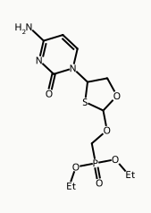 CCOP(=O)(COC1OCC(n2ccc(N)nc2=O)S1)OCC